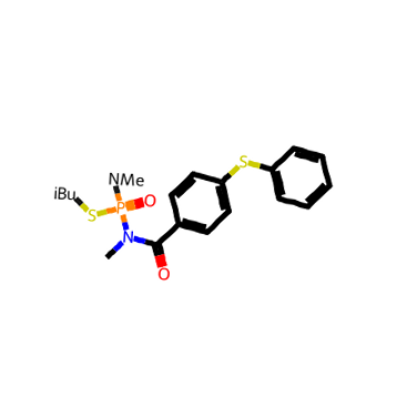 CCC(C)SP(=O)(NC)N(C)C(=O)c1ccc(Sc2ccccc2)cc1